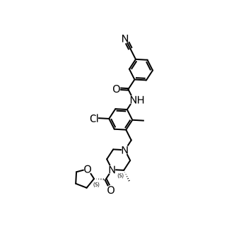 Cc1c(CN2CCN(C(=O)[C@@H]3CCCO3)[C@@H](C)C2)cc(Cl)cc1NC(=O)c1cccc(C#N)c1